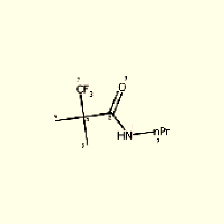 CCCNC(=O)C(C)(C)C(F)(F)F